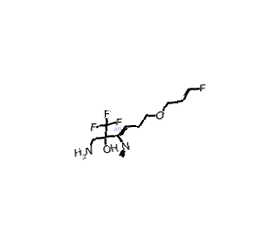 C=N/C(=C\CCOCCCF)C(O)(CN)C(F)(F)F